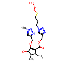 CCCCn1cc(COC2=C(C(=O)OCc3cn(CCCSOOO)nn3)C(C)C(C)C2=O)nn1